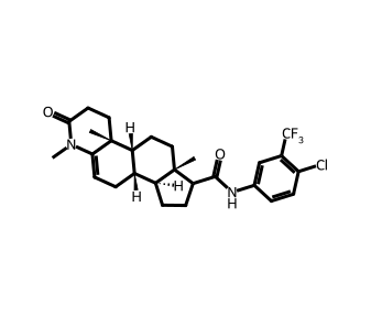 CN1C(=O)CC[C@@]2(C)C1=CC[C@@H]1[C@H]2CC[C@]2(C)C(C(=O)Nc3ccc(Cl)c(C(F)(F)F)c3)CC[C@@H]12